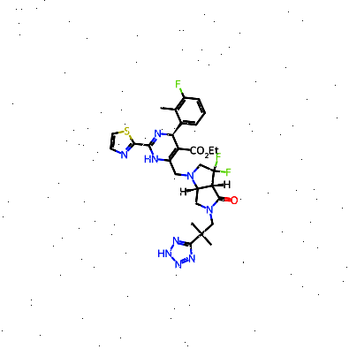 CCOC(=O)C1=C(CN2CC(F)(F)[C@@H]3C(=O)N(CC(C)(C)c4nn[nH]n4)C[C@@H]32)NC(c2nccs2)=N[C@H]1c1cccc(F)c1C